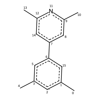 Cc1[c]c(C)cc(-c2cc(C)nc(C)c2)c1